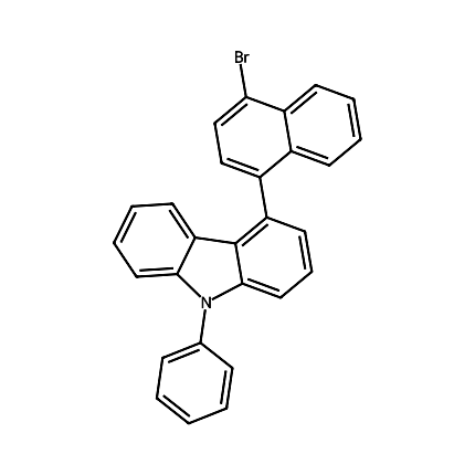 Brc1ccc(-c2cccc3c2c2ccccc2n3-c2ccccc2)c2ccccc12